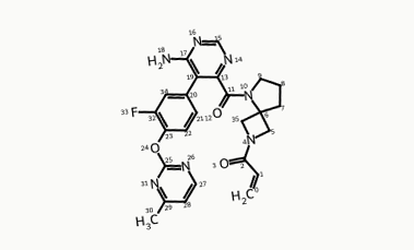 C=CC(=O)N1CC2(CCCN2C(=O)c2ncnc(N)c2-c2ccc(Oc3nccc(C)n3)c(F)c2)C1